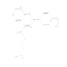 Cn1ccc2cc(-c3cc4ncccc4c(NCCCN)n3)ccc21